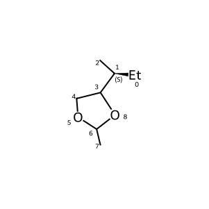 CC[C@H](C)C1COC(C)O1